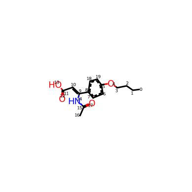 CCCCOc1ccc(C(=CC(=O)O)NC(C)=O)cc1